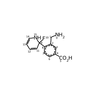 NCc1cc(C(=O)O)ccc1C1(F)C=CC=CN1